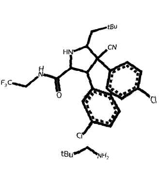 CC(C)(C)CC1NC(C(=O)NCC(F)(F)F)C(c2cccc(Cl)c2)C1(C#N)c1ccc(Cl)cc1.CC(C)(C)CN